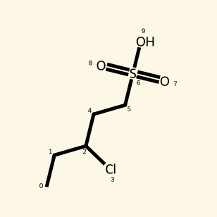 CCC(Cl)CCS(=O)(=O)O